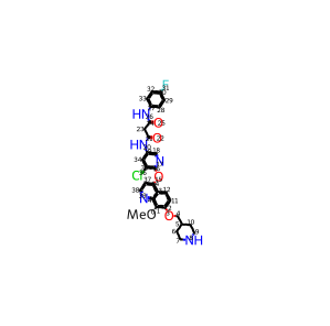 COc1c(OCC2CCNCC2)ccc2c(Oc3ncc(NC(=O)CC(=O)Nc4ccc(F)cc4)cc3Cl)ccnc12